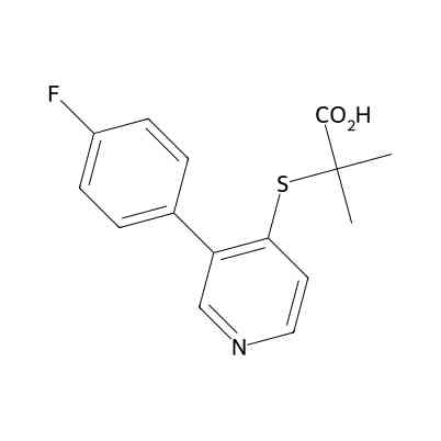 CC(C)(Sc1ccncc1-c1ccc(F)cc1)C(=O)O